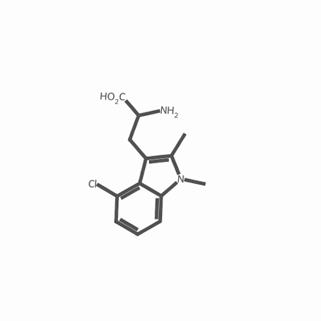 Cc1c(CC(N)C(=O)O)c2c(Cl)cccc2n1C